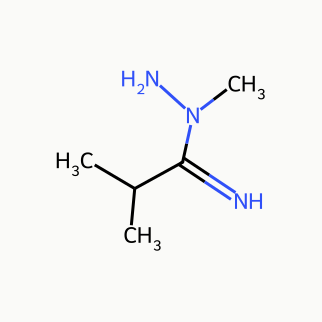 CC(C)C(=N)N(C)N